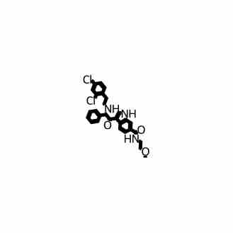 COCCNC(=O)c1ccc2c(C(=O)[C@@H](NCCc3ccc(Cl)cc3Cl)c3ccccc3)c[nH]c2c1